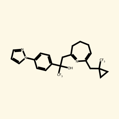 OC(CC1=NC(CC2(C(F)(F)F)CC2)=CCCC1)(c1ccc(-n2cccn2)cc1)C(F)(F)F